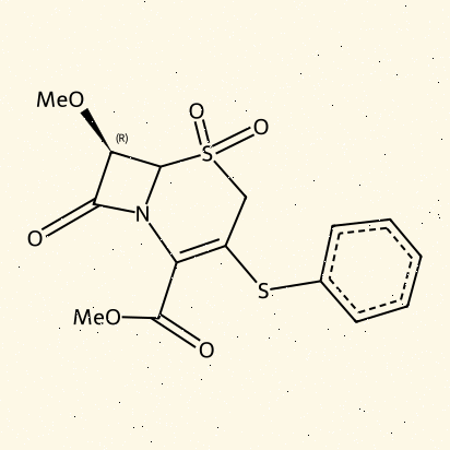 COC(=O)C1=C(Sc2ccccc2)CS(=O)(=O)C2[C@H](OC)C(=O)N12